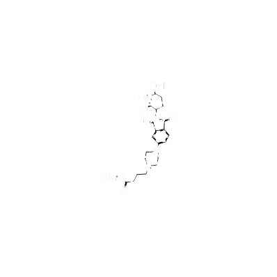 CC(C)(C)OC(=O)CCCN1CCN(c2ccc3c(c2)C(=O)N(C2CCC(O)NC2=O)C3=O)CC1